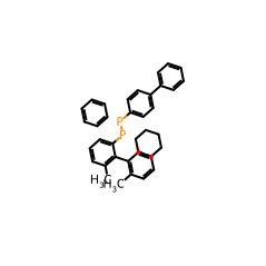 Cc1ccc[c]c1-c1c(C)cccc1[P@](C1CCCCC1)[P@@](c1ccccc1)c1ccc(-c2ccccc2)cc1